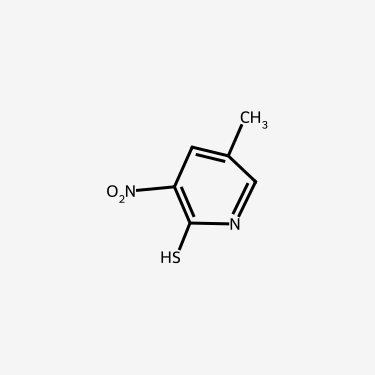 Cc1cnc(S)c([N+](=O)[O-])c1